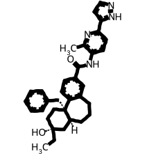 CC[C@@]1(O)CC[C@@]2(Cc3ccccc3)c3ccc(C(=O)Nc4ccc(-c5ccn[nH]5)nc4C)cc3CCC[C@H]2C1